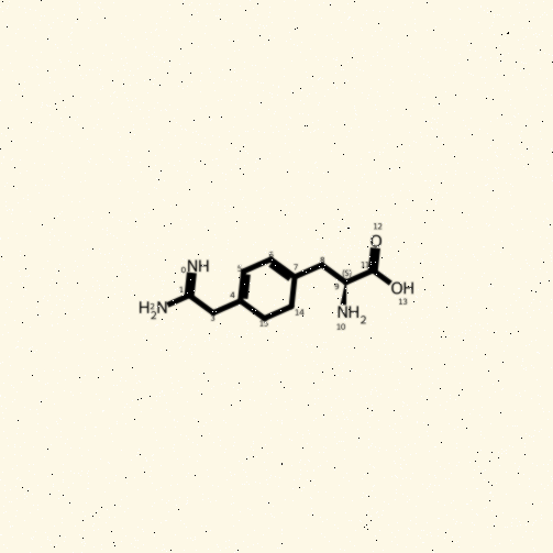 N=C(N)CC1=CC=C(C[C@H](N)C(=O)O)CC1